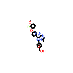 COc1cccc(Oc2ccc(-c3nc(C45CCC(CO)(CC4)OC5)n4c(C)cnc(N)c34)cc2)c1F